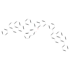 c1ccc(-c2ccc3ccc4c(-c5cccc(-c6ccc7cc(-c8cccc(-c9ccc%10ccc%11c(-c%12ccccc%12)ccc%12ccc9c%10c%12%11)c8)c8c9cc%10ccccc%10cc9oc8c7c6)c5)ccc5ccc2c3c54)cc1